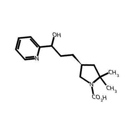 CC1(C)C[C@H](CCC(O)c2ccccn2)CN1C(=O)O